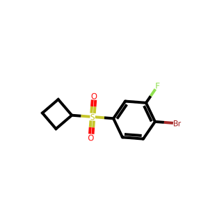 O=S(=O)(c1ccc(Br)c(F)c1)C1CCC1